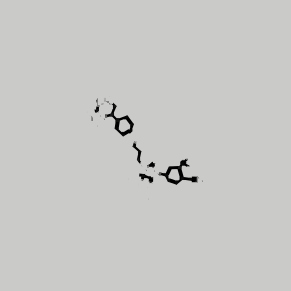 CCC(NC(C)C)c1ccc(OCCCN2C(=S)N(c3ccc(C#N)c(C(F)(F)F)c3)C(=O)C2(C)C)cc1